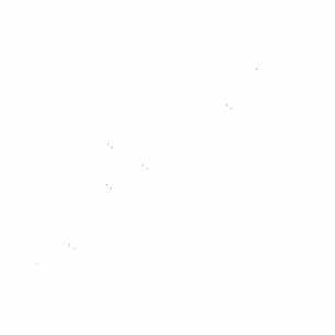 CC1CN(Cc2cccc(Nc3nccc(-c4ccc(Cl)nc4)n3)c2)CCN1